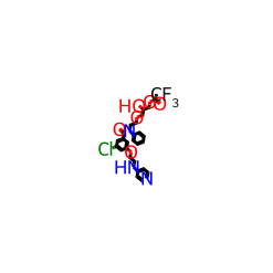 O=C(c1cc(Cl)cc(OCCNc2ccncc2)c1)N(CCOCC(O)COC(=O)C(F)(F)F)c1ccccc1